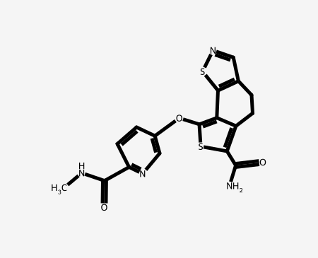 CNC(=O)c1ccc(Oc2sc(C(N)=O)c3c2-c2sncc2CC3)cn1